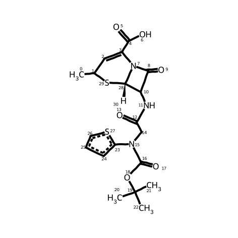 CC1C=C(C(=O)O)N2C(=O)C(NC(=O)CN(C(=O)OC(C)(C)C)c3cccs3)[C@@H]2S1